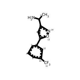 CC(N)c1cc(-c2cccc(C(F)(F)F)c2)on1